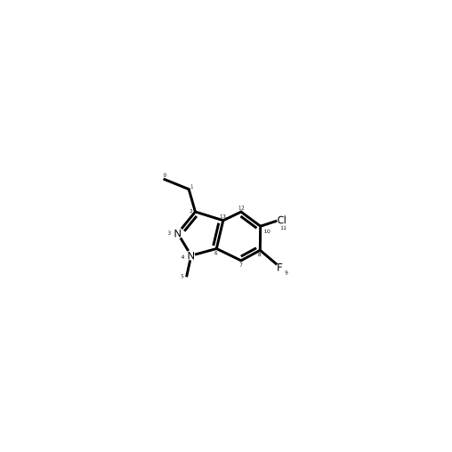 CCc1nn(C)c2cc(F)c(Cl)cc12